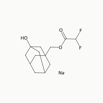 O=C(OCC12CC3CC(CC(O)(C3)C1)C2)C(F)F.[Na]